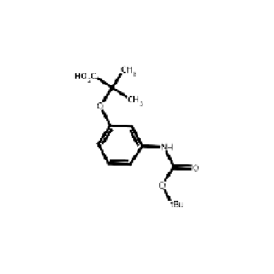 CC(C)(C)OC(=O)Nc1cccc(OC(C)(C)C(=O)O)c1